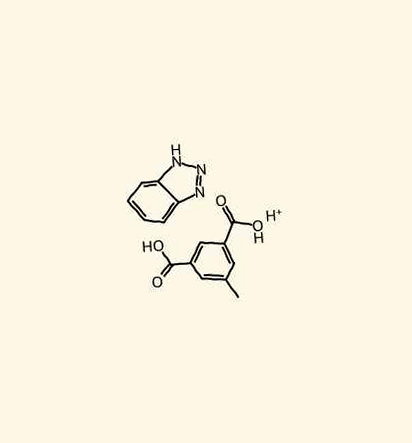 Cc1cc(C(=O)O)cc(C(=O)O)c1.[H+].c1ccc2[nH]nnc2c1